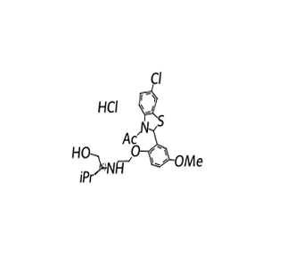 COc1ccc(OCCN[C@H](CO)C(C)C)c(C2Sc3cc(Cl)ccc3N2C(C)=O)c1.Cl